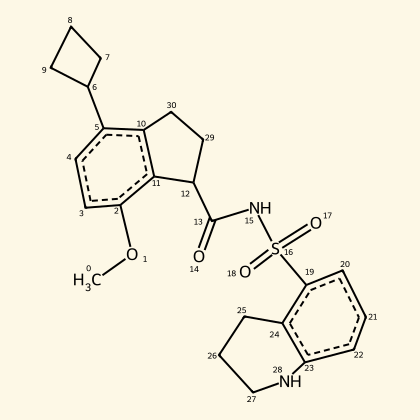 COc1ccc(C2CCC2)c2c1C(C(=O)NS(=O)(=O)c1cccc3c1CCCN3)CC2